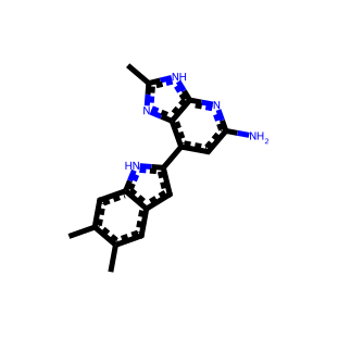 Cc1nc2c(-c3cc4cc(C)c(C)cc4[nH]3)cc(N)nc2[nH]1